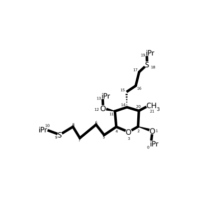 CC(C)O[C@H]1OC(CCCCSC(C)C)[C@@H](OC(C)C)[C@H](CCCSC(C)C)C1C